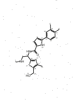 CNCC(NC(=O)c1ccc(-c2ccc(C)c(C)c2)[nH]1)c1nc(C)c(CO)s1